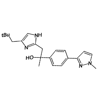 Cn1ccc(-c2ccc(C(C)(O)Cc3nc(CC(C)(C)C)c[nH]3)cc2)n1